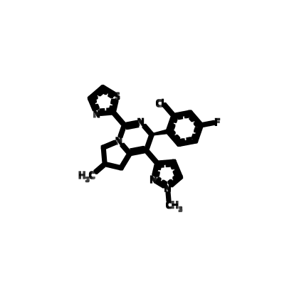 CC1CC2=C(c3ccn(C)n3)[C@H](c3ccc(F)cc3Cl)N=C(c3nccs3)N2C1